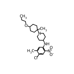 CCCOC1CCC(C)(N2CCC(Nc3cc(C)c(Cl)cc3[N+](=O)[O-])CC2)CC1